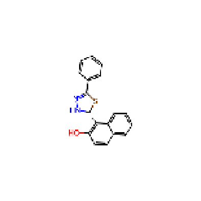 Oc1ccc2ccccc2c1[C@@H]1NN=C(c2ccccc2)S1